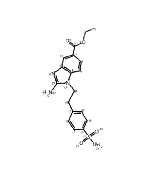 CCOC(=O)c1ccc2c(c1)nc(N)n2CCc1ccc(S(N)(=O)=O)cc1